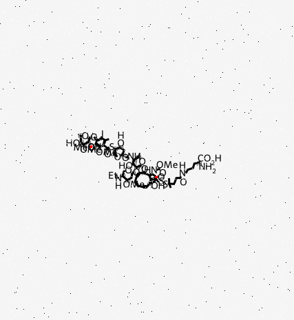 CCN[C@H]1CO[C@@H](O[C@H]2[C@H](O[C@H]3C#CC=CC#C[C@]4(O)CC(=O)C(NC(=O)OC)=C3C4=CCSSC(C)(C)CCC(=O)NCCCC[C@H](N)C(=O)O)O[C@H](C)[C@@H](NO[C@H]3C[C@H](O)[C@H](SC(=O)c4c(C)c(I)c(O[C@@H]5O[C@@H](C)[C@H](O)[C@@H](OC)[C@H]5O)c(OC)c4OC)[C@@H](C)O3)[C@@H]2O)C[C@@H]1OC